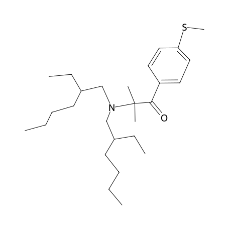 CCCCC(CC)CN(CC(CC)CCCC)C(C)(C)C(=O)c1ccc(SC)cc1